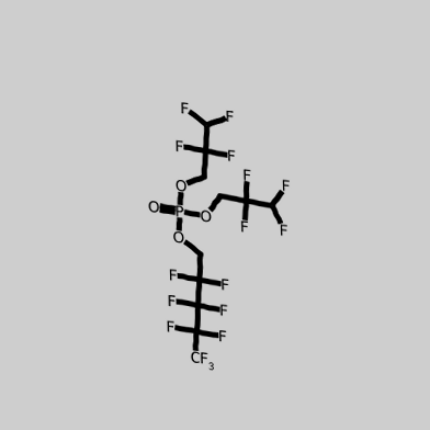 O=P(OCC(F)(F)C(F)F)(OCC(F)(F)C(F)F)OCC(F)(F)C(F)(F)C(F)(F)C(F)(F)F